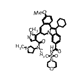 COc1ccc2c(c1)C=C(c1c(C(=O)N(C)C3CCN(C)C3)cnn1C)Cn1c-2c(C2CCCCC2)c2ccc(C(=O)NS(=O)(=O)N3CCOCC3)cc21